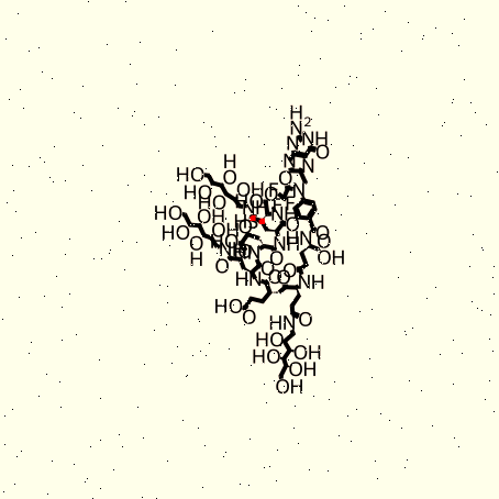 Nc1nc2ncc(CN(C(=O)C(F)(F)F)c3ccc(C(=O)N[C@H](CCC(=O)N[C@@H](CCC(=O)NC[C@@H](O)[C@@H](O)[C@H](O)[C@H](O)CO)C(=O)C[C@H](CCC(=O)O)C(=O)N[C@@H](CCC(=O)NC[C@H](O)[C@@H](O)[C@H](O)[C@H](O)CO)C(=O)N[C@H](CCC(=O)O)C(=O)N[C@@H](CCC(=O)NC[C@H](O)[C@@H](O)[C@H](O)[C@H](O)CO)C(=O)N[C@H](CS)C(=O)O)C(=O)O)cc3)nc2c(=O)[nH]1